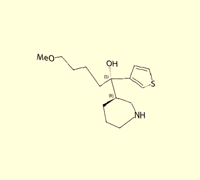 COCCCC[C@@](O)(c1ccsc1)[C@@H]1CCCNC1